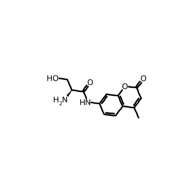 Cc1cc(=O)oc2cc(NC(=O)[C@@H](N)CO)ccc12